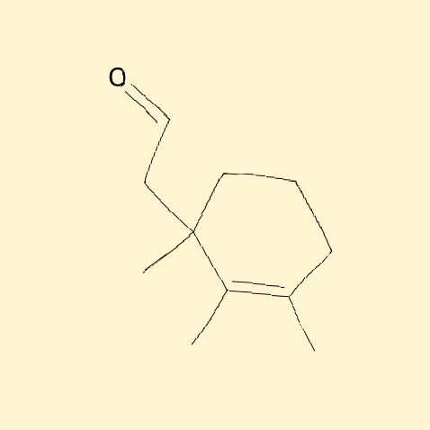 CC1=C(C)C(C)(CC=O)CCC1